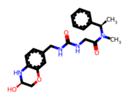 C[C@H](c1ccccc1)N(C)C(=O)CNC(=O)NCc1ccc2c(c1)OC[C@@H](O)N2